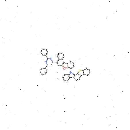 c1ccc(C2=NC(c3ccccc3)CC(c3cc4oc5c(-n6c7ccccc7c7ccc8c9ccccc9sc8c76)cccc5c4c4ccccc34)=N2)cc1